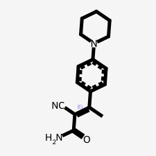 C/C(=C(/C#N)C(N)=O)c1ccc(N2CCCCC2)cc1